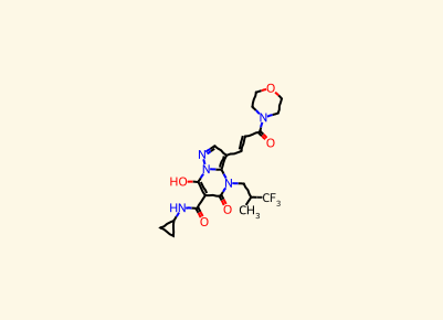 CC(Cn1c(=O)c(C(=O)NC2CC2)c(O)n2ncc(C=CC(=O)N3CCOCC3)c12)C(F)(F)F